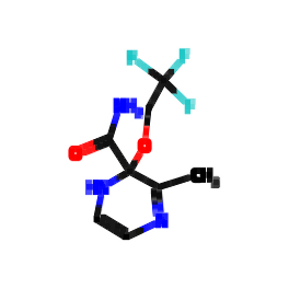 CC1=NC=CNC1(OCC(F)(F)F)C(N)=O